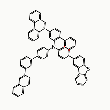 c1ccc(-c2ccc(-c3cc4ccccc4c4ccccc34)cc2N(c2ccc(-c3cccc(-c4ccc5ccccc5c4)c3)cc2)c2ccc(-c3ccc4sc5ccccc5c4c3)cc2)cc1